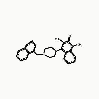 Cn1c(=O)c([N+](=O)[O-])c(N2CCN(Cc3cccc4ccccc34)CC2)c2ncccc21